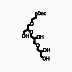 CCCCCCCCCCCCOCC(CO)OCC(O)COCC(O)CO